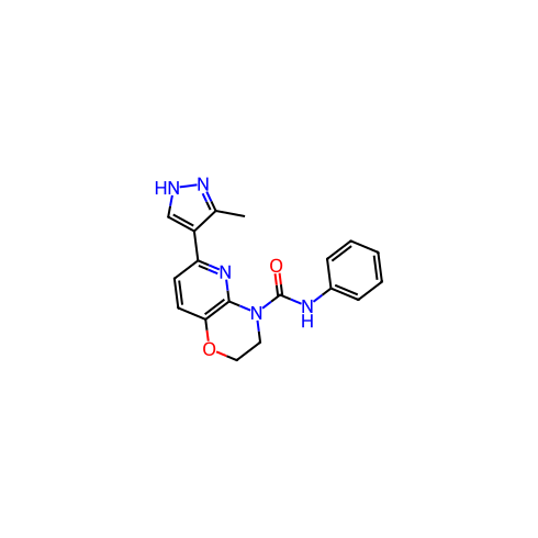 Cc1n[nH]cc1-c1ccc2c(n1)N(C(=O)Nc1ccccc1)CCO2